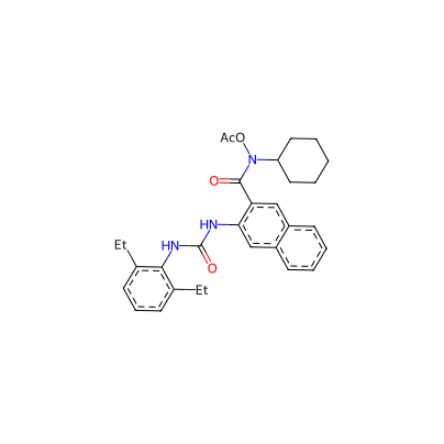 CCc1cccc(CC)c1NC(=O)Nc1cc2ccccc2cc1C(=O)N(OC(C)=O)C1CCCCC1